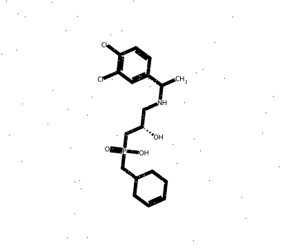 CC(NC[C@H](O)CP(=O)(O)CC1CC=CCC1)c1ccc(Cl)c(Cl)c1